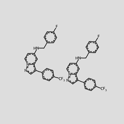 Fc1ccc(CNc2ccn3ncc(-c4ccc(C(F)(F)F)cc4)c3c2)cc1.Fc1ccc(CNc2ccn3ncc(-c4ccc(C(F)(F)F)cc4)c3c2)cc1